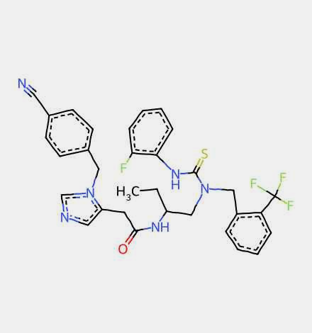 CCC(CN(Cc1ccccc1C(F)(F)F)C(=S)Nc1ccccc1F)NC(=O)Cc1cncn1Cc1ccc(C#N)cc1